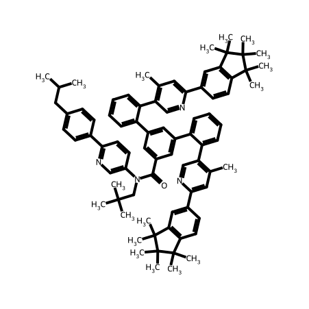 Cc1cc(-c2ccc3c(c2)C(C)(C)C(C)(C)C3(C)C)ncc1-c1ccccc1-c1cc(C(=O)N(CC(C)(C)C)c2ccc(-c3ccc(CC(C)C)cc3)nc2)cc(-c2ccccc2-c2cnc(-c3ccc4c(c3)C(C)(C)C(C)(C)C4(C)C)cc2C)c1